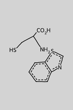 NC(CS)C(=O)O.c1ccc2scnc2c1